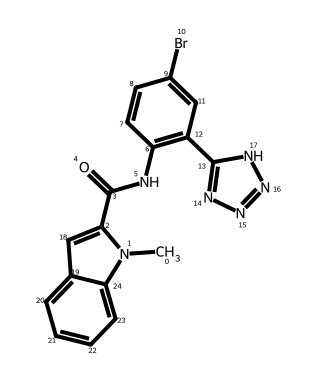 Cn1c(C(=O)Nc2ccc(Br)cc2-c2nnn[nH]2)cc2ccccc21